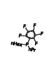 CCCCCCP(CCC)c1c(F)c(F)c(F)c(F)c1F